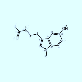 CC(=O)NCCc1cn(C)c2ccc(O)cc12